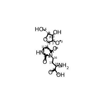 CO[C@@H]1[C@H](O)[C@@H](CO)O[C@H]1c1c[nH]c(=O)n(CCC(N)C(=O)O)c1=O